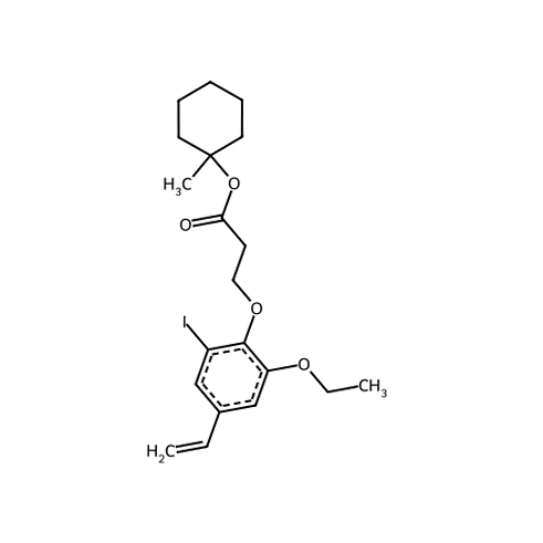 C=Cc1cc(I)c(OCCC(=O)OC2(C)CCCCC2)c(OCC)c1